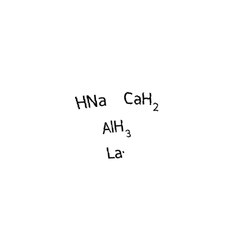 [AlH3].[CaH2].[La].[NaH]